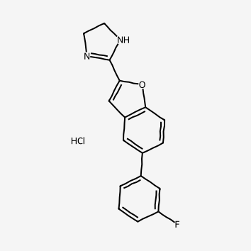 Cl.Fc1cccc(-c2ccc3oc(C4=NCCN4)cc3c2)c1